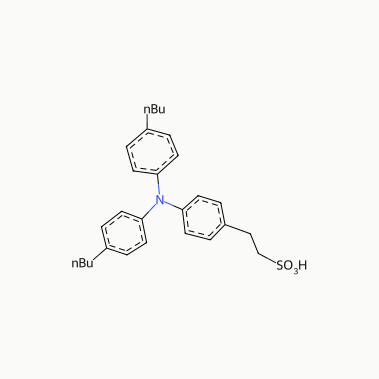 CCCCc1ccc(N(c2ccc(CCCC)cc2)c2ccc(CCS(=O)(=O)O)cc2)cc1